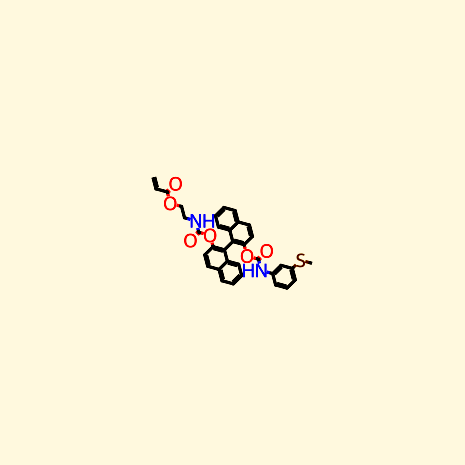 C=CC(=O)OCCNC(=O)Oc1ccc2ccccc2c1-c1c(OC(=O)Nc2cccc(SC)c2)ccc2ccccc12